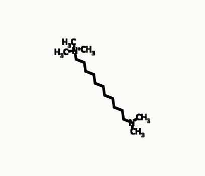 CN(C)CCCCCCCCCCC[N+](C)(C)C